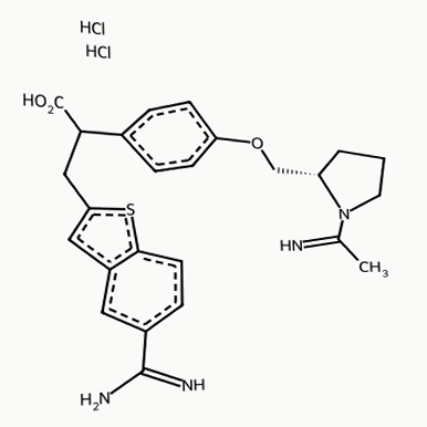 CC(=N)N1CCC[C@H]1COc1ccc(C(Cc2cc3cc(C(=N)N)ccc3s2)C(=O)O)cc1.Cl.Cl